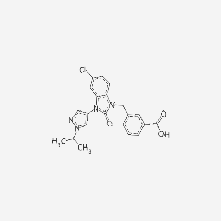 CC(C)n1cc(-n2c(=O)n(Cc3cccc(C(=O)O)c3)c3ccc(Cl)cc32)cn1